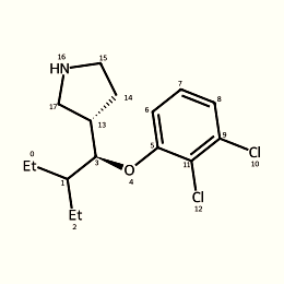 CCC(CC)[C@H](Oc1cccc(Cl)c1Cl)[C@H]1CCNC1